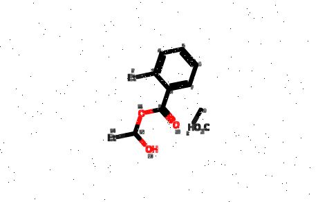 CC(=O)O.CCc1ccccc1C(=O)OC(O)CC